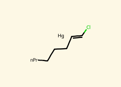 CCCCCC/C=C/Cl.[Hg]